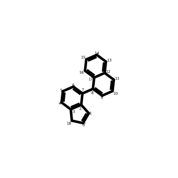 [C]1=Cc2c(cccc2-c2cccc3ccccc23)C1